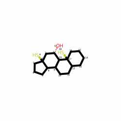 O[C@H]1CC2(S)CCCC2C2CCC3CCCCC3(S)C21